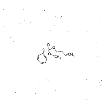 C=CCCOP(=O)(OC)Oc1ccccc1